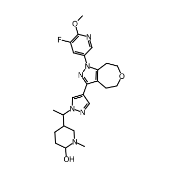 COc1ncc(-n2nc(-c3cnn(C(C)C4CCC(O)N(C)C4)c3)c3c2CCOCC3)cc1F